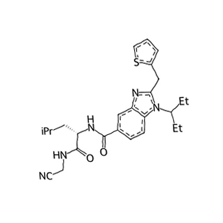 CCC(CC)n1c(Cc2cccs2)nc2cc(C(=O)N[C@@H](CC(C)C)C(=O)NCC#N)ccc21